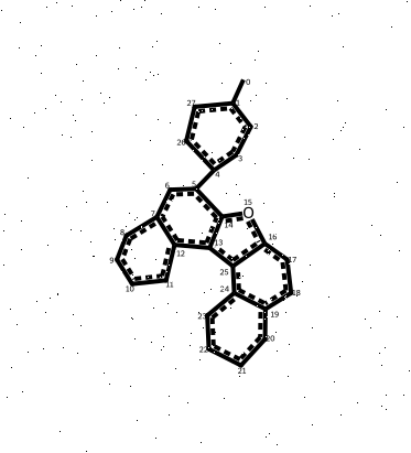 Cc1ccc(-c2cc3ccccc3c3c2oc2ccc4ccccc4c23)cc1